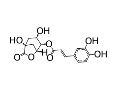 O=C(/C=C/c1ccc(O)c(O)c1)O[C@@H]1[C@H](O)C[C@]2(O)C[C@H]1OC2=O